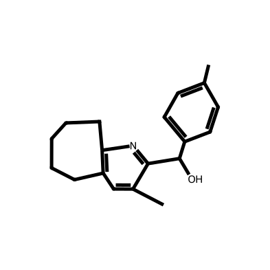 Cc1ccc(C(O)c2nc3c(cc2C)CCCCC3)cc1